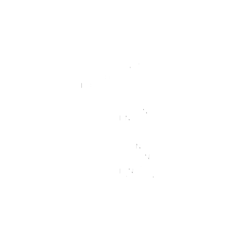 COc1cc2nc(-c3[c]cn(C(N)=O)n3)[nH]c2cc1OC